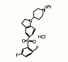 CCCN1CCC(N2CCc3cc(S(=O)(=O)c4cc(F)ccc4F)ccc32)CC1.Cl